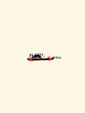 CCCCCC/C=C\COC(=O)CCCCCCCC(CCCCCCCC(=O)OC/C=C\CCCCCC)OC(=O)CC(C)(C)CC(C)(C)CCN(CC)CC